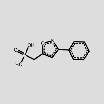 O=P(O)(O)Cc1cc(-c2ccccc2)no1